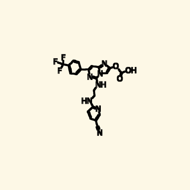 N#Cc1ccc(NCCNc2nc(-c3ccc(C(F)(F)F)cc3)cc3nc(OC(=O)O)cn23)nc1